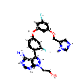 Cn1cncc1COc1cc(F)cc(Oc2ccc(-c3nn(CCO)c4ncnc(N)c34)c(F)c2)c1